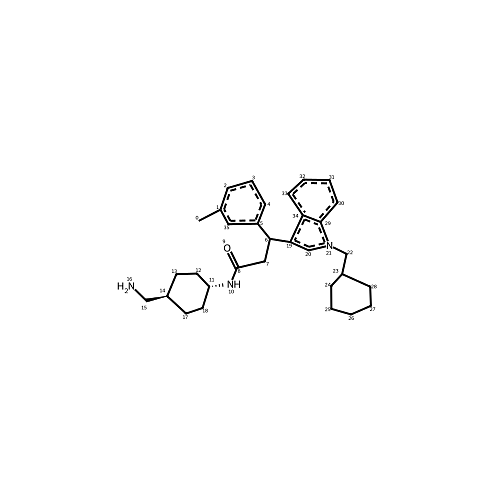 Cc1cccc(C(CC(=O)N[C@H]2CC[C@H](CN)CC2)c2cn(CC3CCCCC3)c3ccccc23)c1